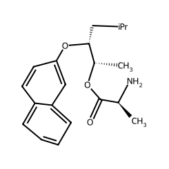 CC(C)C[C@@H](Oc1ccc2ccccc2c1)[C@H](C)OC(=O)[C@H](C)N